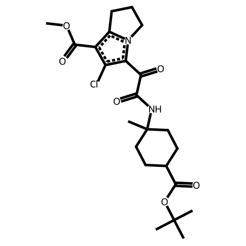 COC(=O)c1c(Cl)c(C(=O)C(=O)NC2(C)CCC(C(=O)OC(C)(C)C)CC2)n2c1CCC2